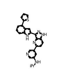 CC(C)Nc1cncc(-c2ccc3[nH]nc(-c4cc5c(-c6cccs6)cccc5[nH]4)c3n2)c1